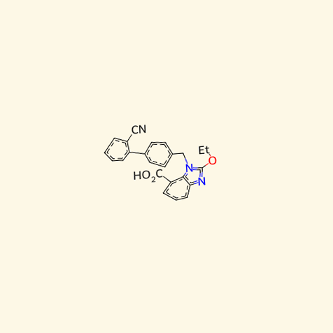 CCOc1nc2cccc(C(=O)O)c2n1Cc1ccc(-c2ccccc2C#N)cc1